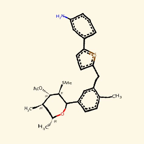 CS[C@H]1C(c2ccc(C)c(Cc3ccc(-c4cccc(N)c4)s3)c2)O[C@H](C)[C@@H](C)[C@@H]1OC(C)=O